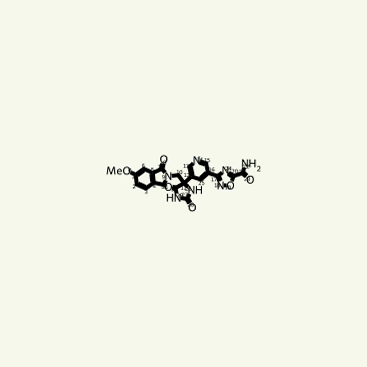 COc1ccc2c(c1)C(=O)N(CC1(c3cncc(-c4noc(C(N)=O)n4)c3)NC(=O)NC1=O)C2